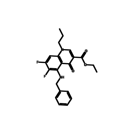 CCCn1cc(C(=O)OCC)c(=O)c2c(NCc3ccccc3)c(F)c(F)cc21